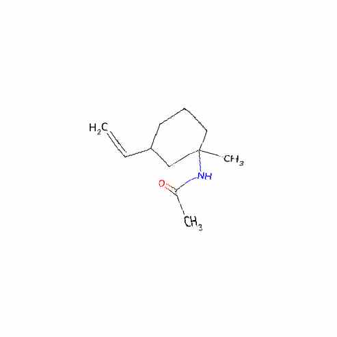 C=CC1CCCC(C)(NC(C)=O)C1